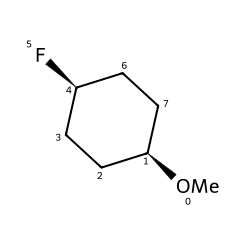 CO[C@H]1CC[C@@H](F)CC1